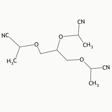 CC(C#N)OCC(COC(C)C#N)OC(C)C#N